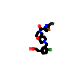 CC(C)c1nc(C(=O)N2CCOC3(CCN(Cc4cc(CCO)ccc4Cl)CC3)C2)cs1